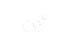 O[C@@H]1C2CCCCCCCC2OC(C2CCCC2)[C@@H]1O